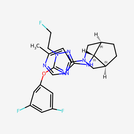 Cc1cc(N2C[C@H]3CC[C@@H](C2)[C@@H]3Nc2nc(Oc3cc(F)cc(F)c3)n(CCF)n2)ncn1